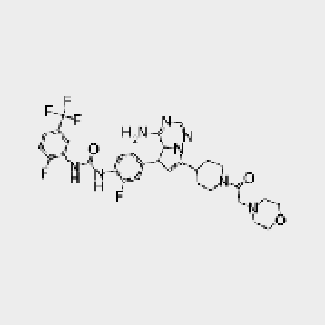 NC1=NC=NN2C(C3CCN(C(=O)CN4CCOCC4)CC3)=CC(c3ccc(NC(=O)Nc4cc(C(F)(F)F)ccc4F)c(F)c3)C12